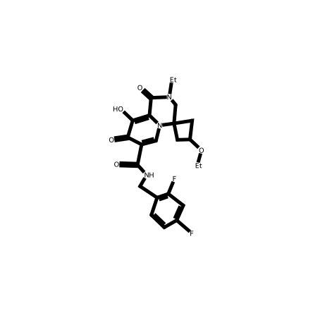 CCOC1CC2(C1)CN(CC)C(=O)c1c(O)c(=O)c(C(=O)NCc3ccc(F)cc3F)cn12